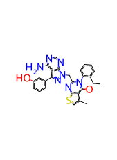 CCc1ccccc1-n1c(Cn2nc(-c3cccc(O)c3)c3c(N)ncnc32)nc2scc(C)c2c1=O